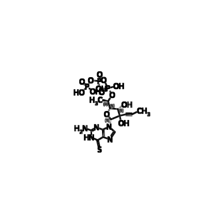 CC#CC1(O)[C@@H](O)[C@@H]([C@@H](C)OP(=O)(O)OP(=O)(O)OP(=O)(O)O)O[C@H]1n1cnc2c(=S)[nH]c(N)nc21